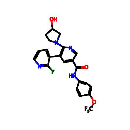 O=C(Nc1ccc(OC(F)(F)F)cc1)c1cnc(N2CCC(O)C2)c(-c2cccnc2F)c1